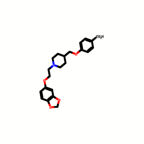 O=C(O)c1ccc(OCC2CCN(CCOc3ccc4c(c3)OCO4)CC2)cc1